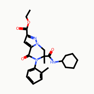 CCOC(=O)c1cc2n(n1)CC(C)(C(=O)NC1CCCCC1)N(c1ccccc1C)C2=O